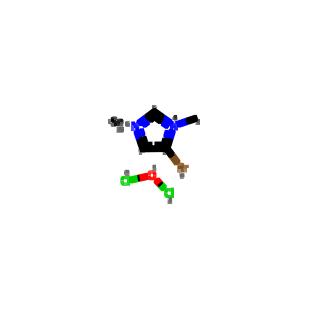 ClOCl.Cn1cncc1Br.[Se]